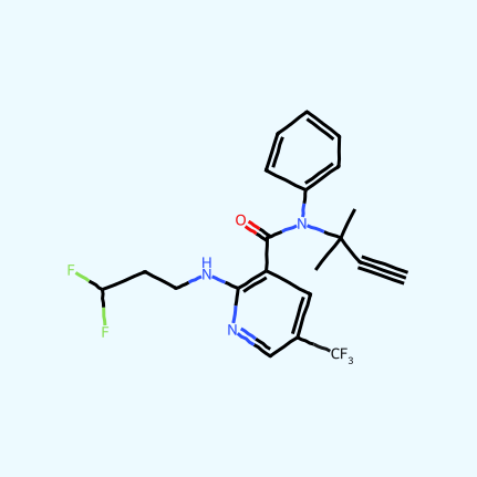 C#CC(C)(C)N(C(=O)c1cc(C(F)(F)F)cnc1NCCC(F)F)c1ccccc1